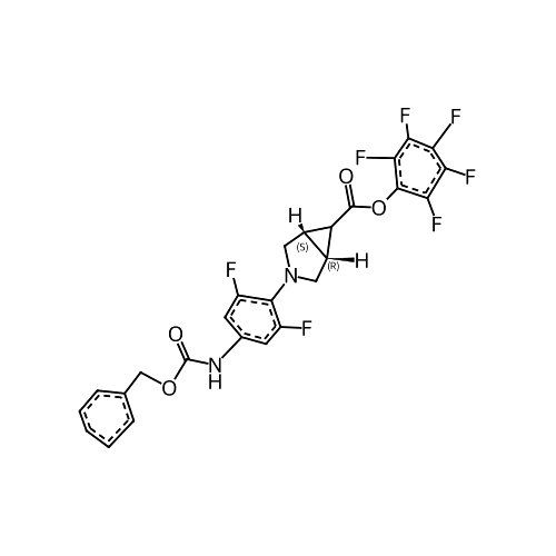 O=C(Nc1cc(F)c(N2C[C@@H]3C(C(=O)Oc4c(F)c(F)c(F)c(F)c4F)[C@@H]3C2)c(F)c1)OCc1ccccc1